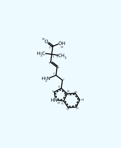 CC(C)(/C=C/C(N)Cc1c[nH]c2ccccc12)C(=O)O